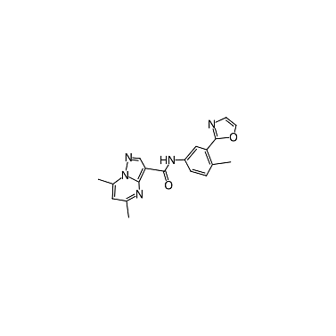 Cc1cc(C)n2ncc(C(=O)Nc3ccc(C)c(-c4ncco4)c3)c2n1